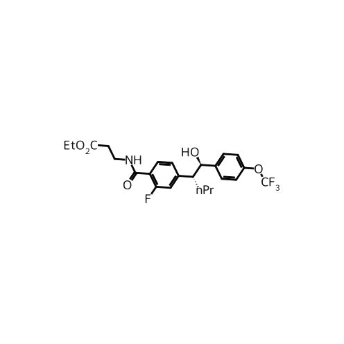 CCC[C@H](c1ccc(C(=O)NCCC(=O)OCC)c(F)c1)[C@@H](O)c1ccc(OC(F)(F)F)cc1